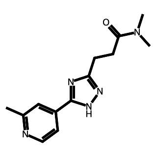 Cc1cc(-c2nc(CCC(=O)N(C)C)n[nH]2)ccn1